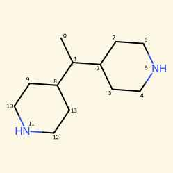 C[C](C1CCNCC1)C1CCNCC1